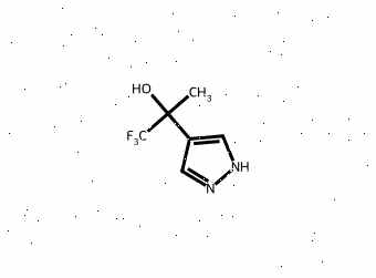 CC(O)(c1cn[nH]c1)C(F)(F)F